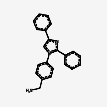 NCc1ccc(-n2cc(-c3ccccc3)nc2-c2ccccc2)cc1